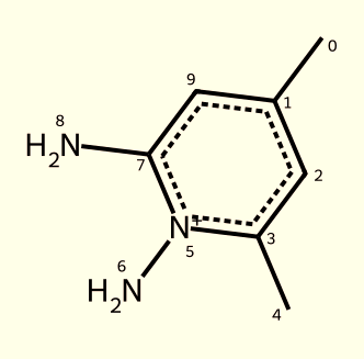 Cc1cc(C)[n+](N)c(N)c1